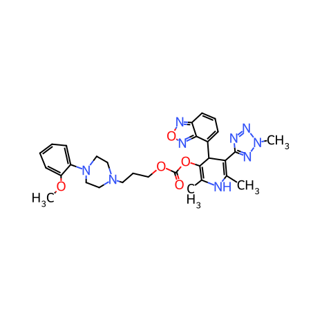 COc1ccccc1N1CCN(CCCOC(=O)OC2=C(C)NC(C)=C(c3nnn(C)n3)C2c2cccc3nonc23)CC1